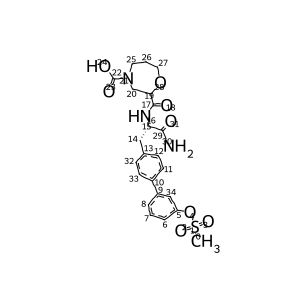 CS(=O)(=O)Oc1cccc(-c2ccc(C[C@H](NC(=O)C3CN(C(=O)O)CCCO3)C(N)=O)cc2)c1